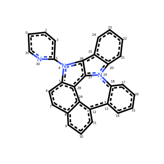 c1ccc(-n2c3ccc4cccc5c6ccccc6n6c7ccccc7c2c6c3c45)nc1